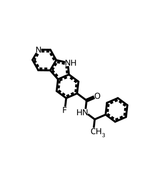 CC(NC(=O)c1cc2[nH]c3cnccc3c2cc1F)c1ccccc1